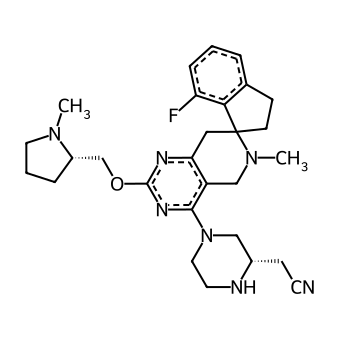 CN1CCC[C@H]1COc1nc2c(c(N3CCN[C@@H](CC#N)C3)n1)CN(C)C1(CCc3cccc(F)c31)C2